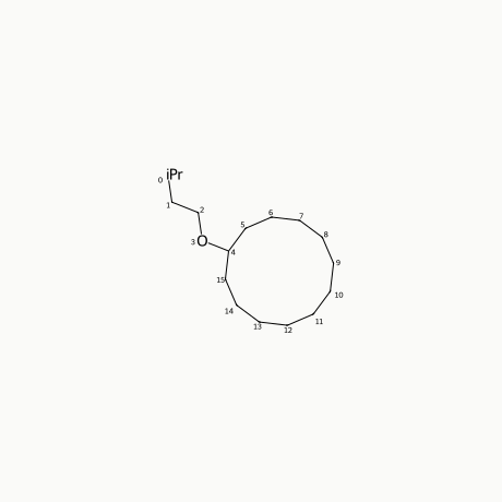 CC(C)CCOC1CCCCCCCCCCC1